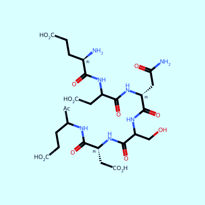 CC(=O)C(CCC(=O)O)NC(=O)[C@@H](CC(=O)O)NC(=O)C(CO)NC(=O)[C@@H](CC(N)=O)NC(=O)C(CC(=O)O)NC(=O)[C@H](N)CCC(=O)O